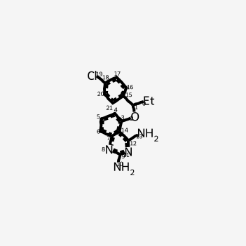 CCC(Oc1cccc2nc(N)nc(N)c12)c1ccc(Cl)cc1